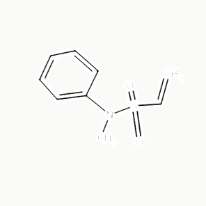 C=CS(=O)(=O)N(C)c1ccccc1